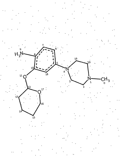 CN1CCN(c2ccc(N)c(OC3CCCCO3)c2)CC1